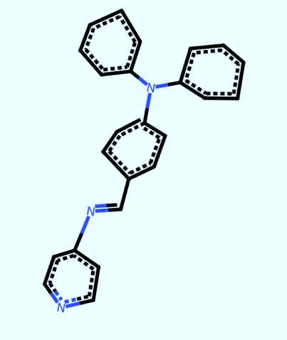 C(=Nc1ccncc1)c1ccc(N(c2ccccc2)c2ccccc2)cc1